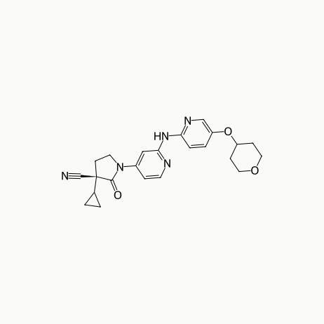 N#C[C@@]1(C2CC2)CCN(c2ccnc(Nc3ccc(OC4CCOCC4)cn3)c2)C1=O